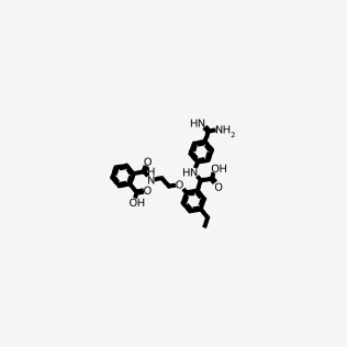 CCc1ccc(OCCNC(=O)c2ccccc2C(=O)O)c(C(Nc2ccc(C(=N)N)cc2)C(=O)O)c1